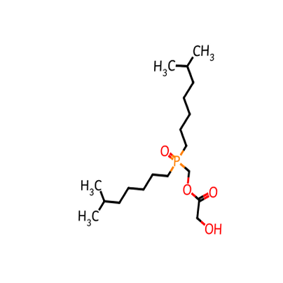 CC(C)CCCCCP(=O)(CCCCCC(C)C)COC(=O)CO